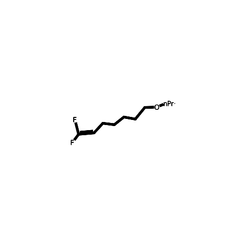 CC[CH]OCCCCCC=C(F)F